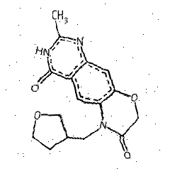 Cc1nc2cc3c(cc2c(=O)[nH]1)N(CC1CCOC1)C(=O)CO3